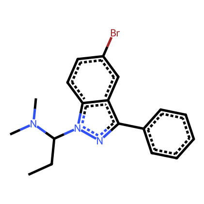 CCC(N(C)C)n1nc(-c2ccccc2)c2cc(Br)ccc21